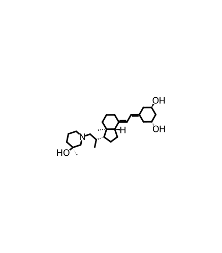 CC(CN1CCC[C@](C)(O)C1)[C@H]1CC[C@H]2/C(=C/C=C3C[C@@H](O)C[C@H](O)C3)CCC[C@]12C